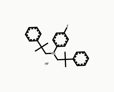 CC(C)([CH2][Sn]([CH2]C(C)(C)c1ccccc1)[c]1ccc(F)cc1)c1ccccc1.F